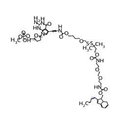 C=C/C=C\C1=CC2=CC=CCC2C1COC(=O)NCCOCCOCCNC(=O)OCCC(C)(C)SSCOCCCCOC(=O)NC#Cc1cn([C@H]2CC[C@@H](COP(=O)(O)OC)O2)c2c1C(=O)NC(N)N2